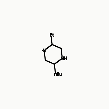 CCCCC1C[N]C(CC)CN1